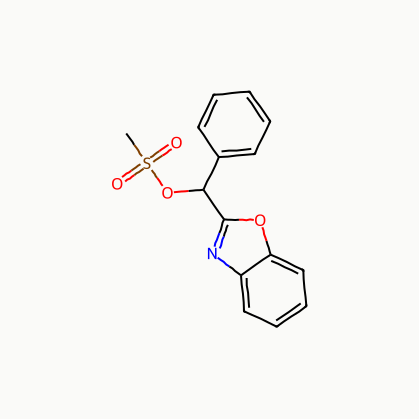 CS(=O)(=O)OC(c1ccccc1)c1nc2ccccc2o1